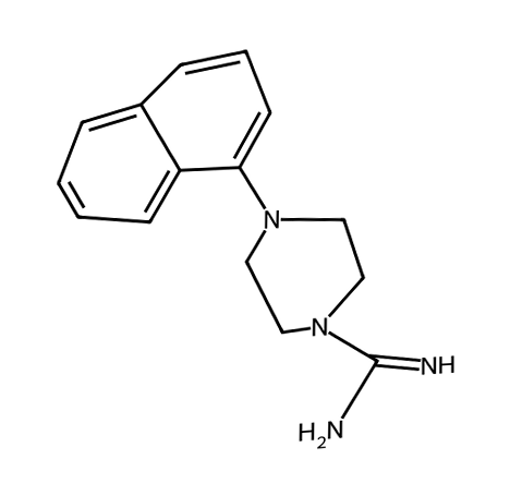 N=C(N)N1CCN(c2cccc3ccccc23)CC1